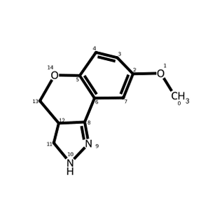 COc1ccc2c(c1)C1=NNCC1CO2